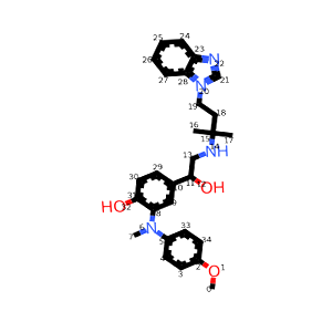 COc1ccc(N(C)c2cc(C(O)CNC(C)(C)CCn3cnc4ccccc43)ccc2O)cc1